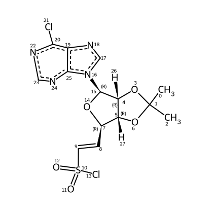 CC1(C)O[C@@H]2[C@H](O1)[C@@H](C=CS(=O)(=O)Cl)O[C@H]2n1cnc2c(Cl)ncnc21